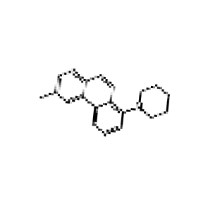 Cc1ccc2ccc3c(N4CCCCC4)cccc3c2c1